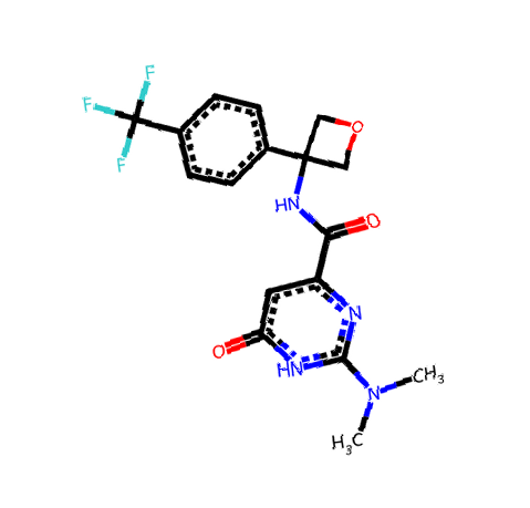 CN(C)c1nc(C(=O)NC2(c3ccc(C(F)(F)F)cc3)COC2)cc(=O)[nH]1